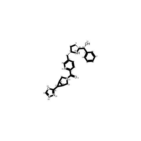 O=C(c1ccc(C[C@@H]2CC[C@H]([C@H](O)c3ccccc3)N2)cn1)N1CC2C(C1)C2c1nnco1